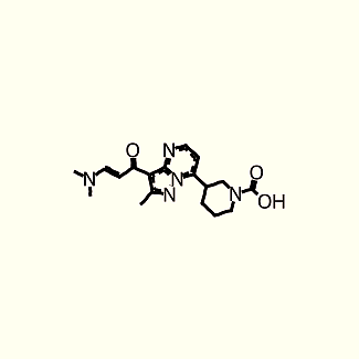 Cc1nn2c(C3CCCN(C(=O)O)C3)ccnc2c1C(=O)/C=C/N(C)C